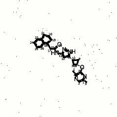 Cc1cnc(C)c(O[C@H]2C[C@@H](c3cc(NC(=O)Cc4cccc5ccccc45)n[nH]3)C2)n1